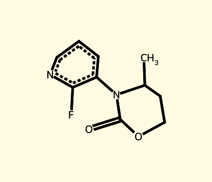 CC1CCOC(=O)N1c1cccnc1F